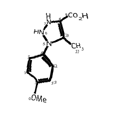 COc1ccc(N2NNC(C(=O)O)=C2C)cc1